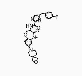 CN1C(=O)[C@H](NC(=O)c2ncn(Cc3ccc(F)cc3)n2)COc2ccc(N3CCC4(CC3)COC4)cc21